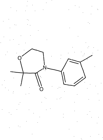 Cc1cccc(N2CCOC(C)(C)C2=O)c1